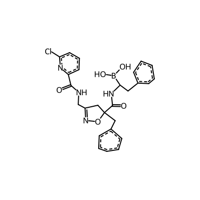 O=C(NCC1=NOC(Cc2ccccc2)(C(=O)NC(Cc2ccccc2)B(O)O)C1)c1cccc(Cl)n1